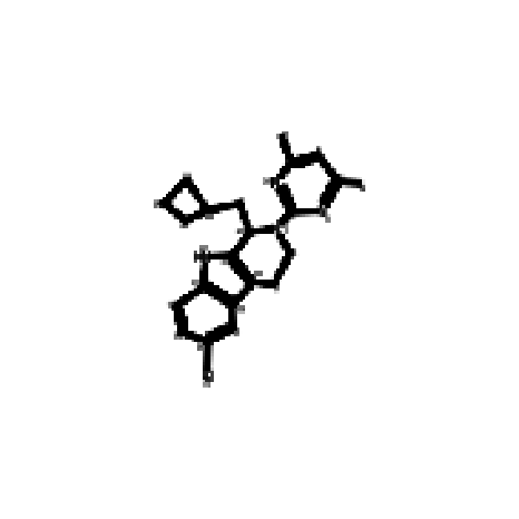 Cc1cc(C)nc(N2CCc3c([nH]c4ccc(Cl)cc34)C2CC2CCC2)n1